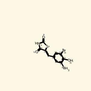 Bc1cc(/C=C2\SC(=O)NC2=O)cc(Br)c1O